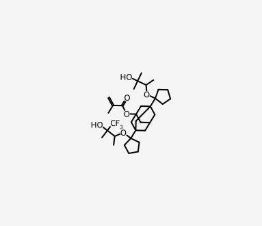 C=C(C)C(=O)OC12CC3CC(C4(OC(C)C(C)(C)O)CCCC4)(C1)CC(C1(OC(C)C(C)(O)C(F)(F)F)CCCC1)(C3)C2